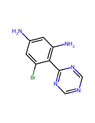 Nc1cc(N)c(-c2ncncn2)c(Br)c1